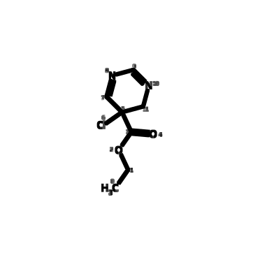 CCOC(=O)C1(Cl)C=NC=NC1